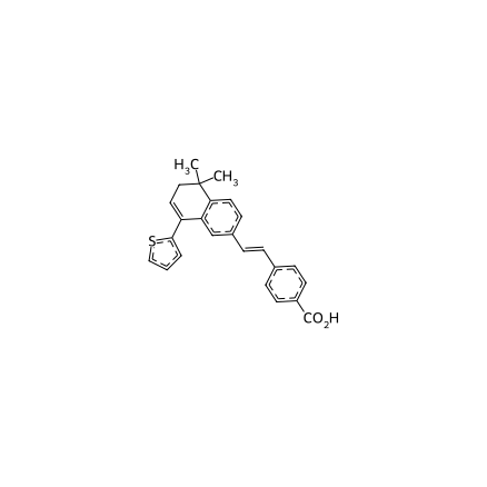 CC1(C)CC=C(c2cccs2)c2cc(/C=C/c3ccc(C(=O)O)cc3)ccc21